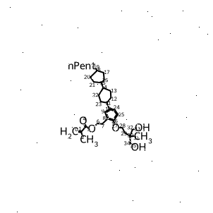 C=C(C)C(=O)OCCc1cc(C2CCC(C3CCC(CCCCC)CC3)CC2)ccc1OCCC(C)(CO)CO